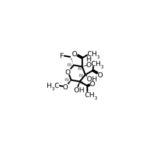 CO[C@H]1O[C@H](CF)[C@@](O)(C(C)=O)[C@@](O)(C(C)=O)[C@]1(O)C(C)=O